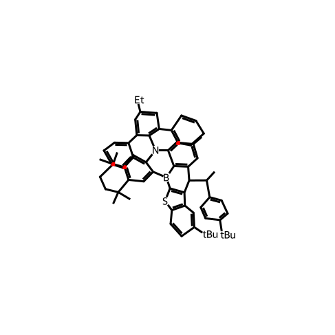 CCc1cc(C2=CCCC=C2)c(N2c3cc4c(cc3B3c5sc6ccc(C(C)(C)C)cc6c5C(C(C)c5ccc(C(C)(C)C)cc5)c5cc(C)cc2c53)C(C)(C)CCC4(C)C)c(-c2ccccc2)c1